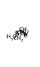 CC(C)CCOc1cccc(C=C2CCN(C(=O)Nc3cnoc3)CC2C)c1